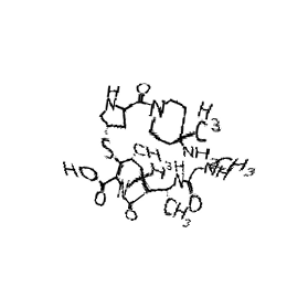 CNCC(=O)N[C@H](C)[C@H]1C(=O)N2C(C(=O)O)=C(S[C@@H]3CNC(C(=O)N4CCC(C)(N)CC4)C3)[C@H](C)[C@H]12